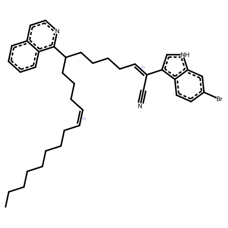 CCCCCCCC/C=C\CCCC(CCCC/C=C(\C#N)c1c[nH]c2cc(Br)ccc12)c1nccc2ccccc12